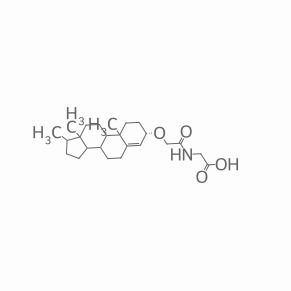 CC1CCC2C3CCC4=C[C@@H](OCC(=O)NCC(=O)O)CCC4(C)C3CCC12C